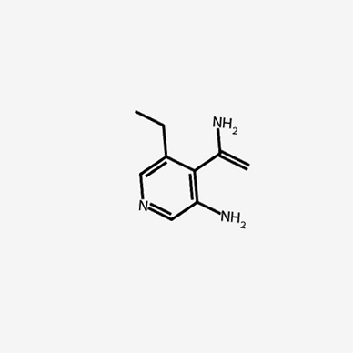 C=C(N)c1c(N)cncc1CC